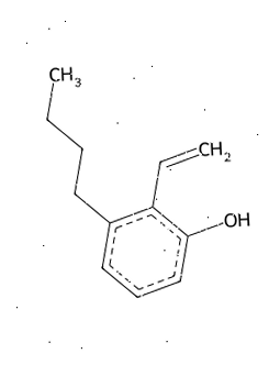 C=Cc1c(O)cccc1CCCC